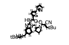 CC(C)(C)C=C(C#N)C(=O)N1CCC[C@@H]1Cn1c(NC(=O)c2ccc(-n3cccn3)s2)nc2cc(CNCC(C)(C)C)ccc21